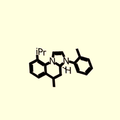 Cc1ccccc1N1C=CN2c3c(C(C)C)cccc3C(C)C[C@H]12